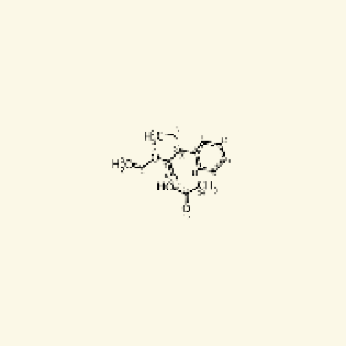 C=COC(=O)[C@H](CC)c1ccccc1.CC(=O)O